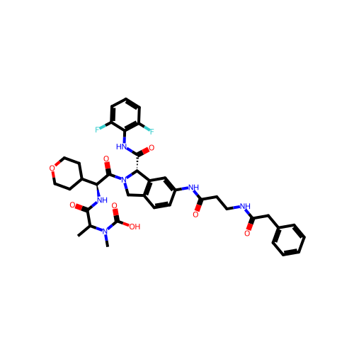 CC(C(=O)N[C@H](C(=O)N1Cc2ccc(NC(=O)CCNC(=O)Cc3ccccc3)cc2[C@H]1C(=O)Nc1c(F)cccc1F)C1CCOCC1)N(C)C(=O)O